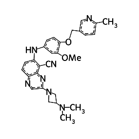 COc1cc(Nc2ccc3ncc(N4CC(N(C)C)C4)nc3c2C#N)ccc1OCc1ccc(C)nc1